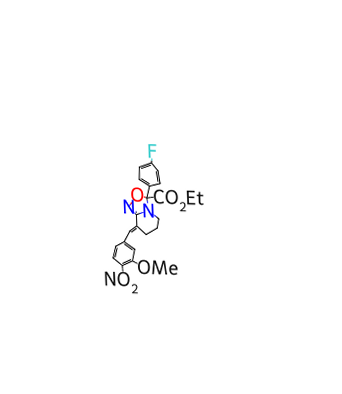 CCOC(=O)C1(c2ccc(F)cc2)ON=C2/C(=C/c3ccc([N+](=O)[O-])c(OC)c3)CCCN21